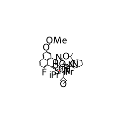 COCOc1cc(-c2cc3cc(C4COC4)nc4c3c(n2)OC(C)C2C3CCC(CN42)N3C(=O)O)c2c(C#C[Si](C(C)C)(C(C)C)C(C)C)c(F)ccc2c1